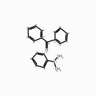 CN(C)c1ccccc1.O=C(c1ccccc1)c1ccccc1